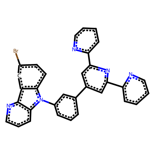 Brc1ccc2c(c1)c1ncccc1n2-c1cccc(-c2cc(-c3ccccn3)nc(-c3ccccn3)c2)c1